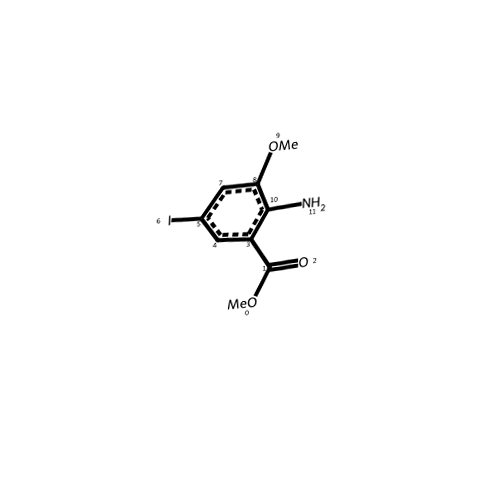 COC(=O)c1cc(I)cc(OC)c1N